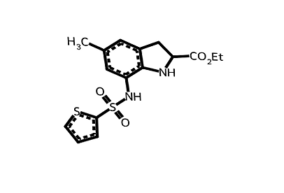 CCOC(=O)C1Cc2cc(C)cc(NS(=O)(=O)c3cccs3)c2N1